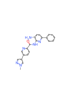 Cn1cc(-c2ccc(C(=O)Nc3nc(-c4ccccc4)ccc3N)nc2)cn1